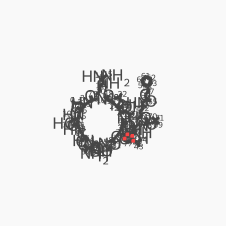 CC[C@H](C)C1NC(=O)[C@@H](CCCNC(=N)N)NC(=O)[C@H](CC(C)C)NC(=O)[C@H]([C@H](O)C(C)C)NC(=O)[C@@H](NC(=O)[C@H](CC(C)C)NC(=O)[C@@H](CCCCNC(=O)OCc2ccccc2)NC(=O)OC(C)(C)C)[C@@H](c2ccccc2)OC(=O)[C@H](CO)NC(=O)[C@H]([C@H](O)C(N)=O)NC(=O)CNC(=O)C([C@H](C)O)NC1=O